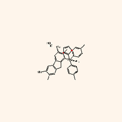 Cc1cc[c]([Zr](=[SiH2])([C]2=CC=CC2)([c]2ccc(C)cc2)[c]2c(C)c(C(C)(C)C)cc3c2Cc2cc(C)c(C(C)(C)C)cc2-3)cc1.Cl.Cl